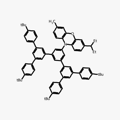 CCC(CC)c1ccc2c(c1)Oc1cc(C)ccc1N2c1cc(-c2cc(-c3ccc(C(C)(C)C)cc3)cc(-c3ccc(C(C)(C)C)cc3)c2)cc(-c2cc(-c3ccc(C(C)(C)C)cc3)cc(-c3ccc(C(C)(C)C)cc3)c2)c1